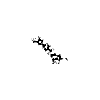 CCNC1CN(c2ncc(C(=O)Nc3cn4cc(C)nc4c(OC)n3)cn2)CC1F